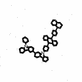 c1ccc(-n2c3ccccc3c3cc(-c4ccc5c6ccccc6n(-c6ccc(-c7c8ccccc8c(-c8ccc(-c9cccc%10ccccc9%10)cc8)c8ccccc78)cc6)c5c4)ccc32)cc1